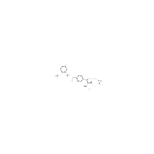 [2H]C([2H])([2H])Oc1ccc(F)cc1C(=O)N[C@@H]1COc2cc(-c3nn(CC4CC4(F)F)c(N)c3C(N)=O)ccc21